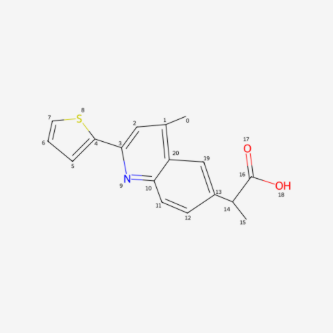 Cc1cc(-c2cccs2)nc2ccc(C(C)C(=O)O)cc12